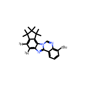 [2H]c1c2c(c3c(nc4c5cccc(C(C)(C)C)c5ncn43)c1[2H])C(C)(C)C(C)(C)C2(C)C